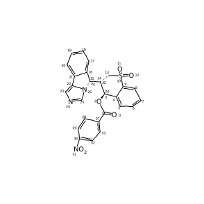 O=C(O[C@@H]1c2ccccc2S(=O)(=O)C[C@H]1[C@H]1c2ccccc2-c2cncn21)c1ccc([N+](=O)[O-])cc1